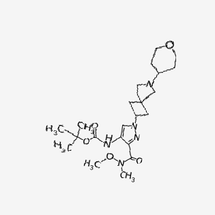 CON(C)C(=O)c1nn(C2CC3(C2)CN(C2CCOCC2)C3)cc1NC(=O)OC(C)(C)C